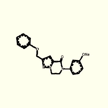 COc1cccc(N2CCn3nc(COc4ccccc4)cc3C2=O)c1